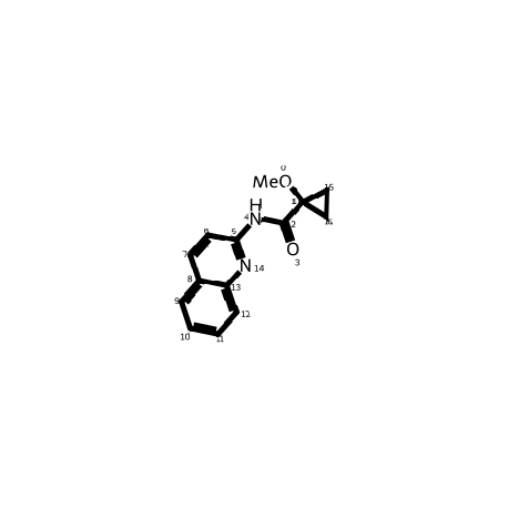 COC1(C(=O)Nc2ccc3ccccc3n2)CC1